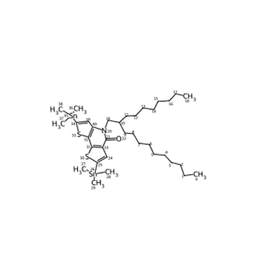 CCCCCCCCCCC(CCCCCCCC)Cn1c(=O)c2c[c]([Sn]([CH3])([CH3])[CH3])sc2c2s[c]([Sn]([CH3])([CH3])[CH3])cc21